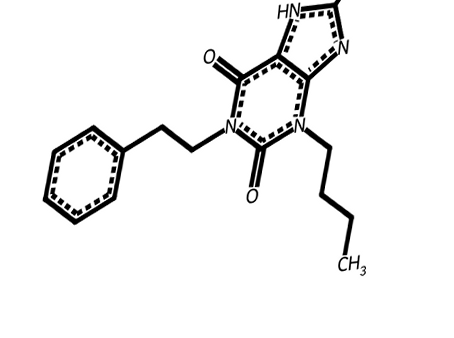 CCCCn1c(=O)n(CCc2ccccc2)c(=O)c2[nH]c(Cl)nc21